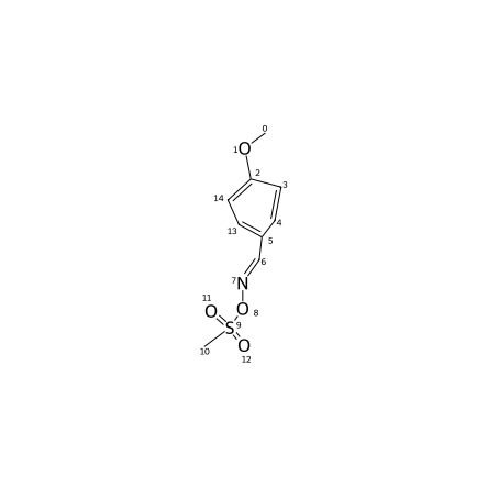 COc1ccc(C=NOS(C)(=O)=O)cc1